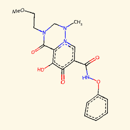 COCCN1CN(C)n2cc(C(=O)NOc3ccccc3)c(=O)c(O)c2C1=O